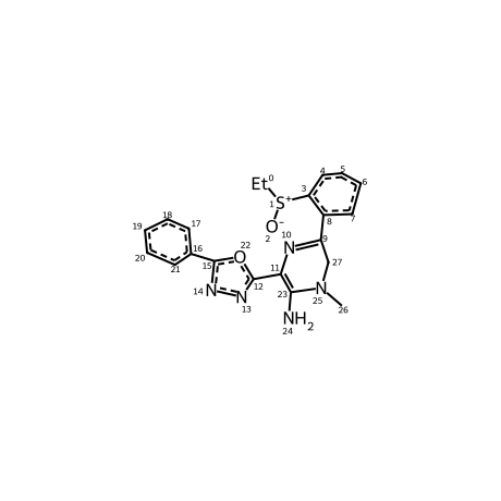 CC[S+]([O-])c1ccccc1C1=NC(c2nnc(-c3ccccc3)o2)=C(N)N(C)C1